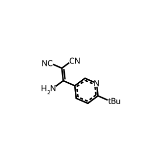 CC(C)(C)c1ccc(C(N)=C(C#N)C#N)cn1